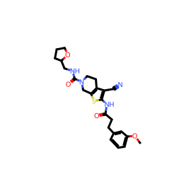 COc1cccc(CCC(=O)Nc2sc3c(c2C#N)CCN(C(=O)NCC2CCCO2)C3)c1